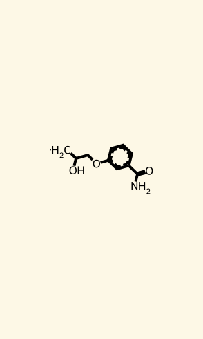 [CH2]C(O)COc1cccc(C(N)=O)c1